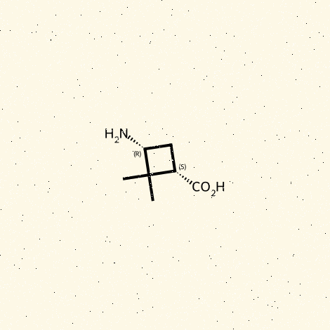 CC1(C)[C@H](N)C[C@@H]1C(=O)O